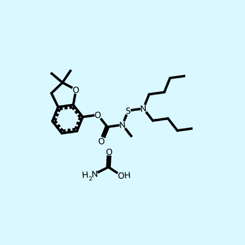 CCCCN(CCCC)SN(C)C(=O)Oc1cccc2c1OC(C)(C)C2.NC(=O)O